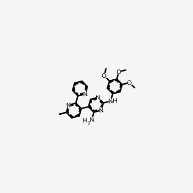 COc1cc(Nc2ncc(-c3ccc(C)nc3-c3ccccn3)c(N)n2)cc(OC)c1OC